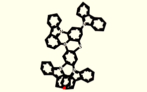 c1ccc2c(c1)c1ccccc1n2-c1cc2c3c(c1)-n1c4ccccc4c4cccc(c41)B3c1cc(-n3c4ccccc4c4ccccc43)c(-n3c4ccccc4c4ccccc43)cc1S2